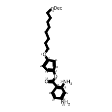 CCCCCCCCCCCCCCCCCCOc1ccc(OC(=O)c2ccc(N)cc2N)cc1